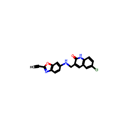 C#Cc1nc2ccc(NCc3cc4cc(Cl)ccc4[nH]c3=O)cc2o1